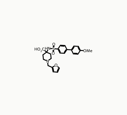 COc1ccc(-c2ccc(S(=O)(=O)NC3(C(=O)O)CCN(Cc4ccco4)CC3)cc2)cc1